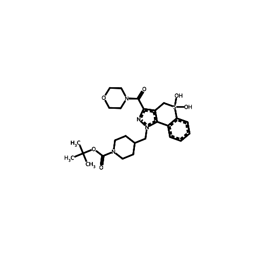 CC(C)(C)OC(=O)N1CCC(Cn2nc(C(=O)N3CCOCC3)c3c2-c2ccccc2S(O)(O)C3)CC1